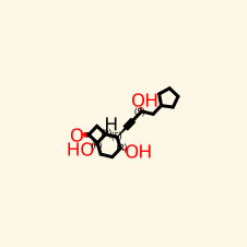 O=C1C[C@@H]2[C@@H](C#C[C@@H](O)CC3CCCC3)[C@H](O)CC[C@]12O